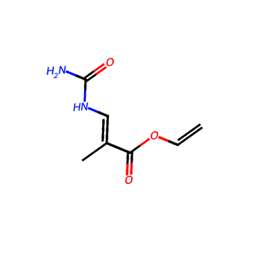 C=COC(=O)C(C)=CNC(N)=O